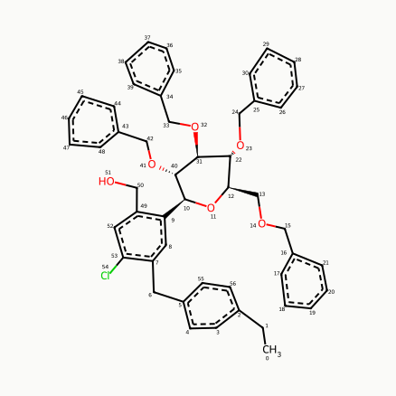 CCc1ccc(Cc2cc([C@@H]3O[C@H](COCc4ccccc4)[C@@H](OCc4ccccc4)[C@H](OCc4ccccc4)[C@H]3OCc3ccccc3)c(CO)cc2Cl)cc1